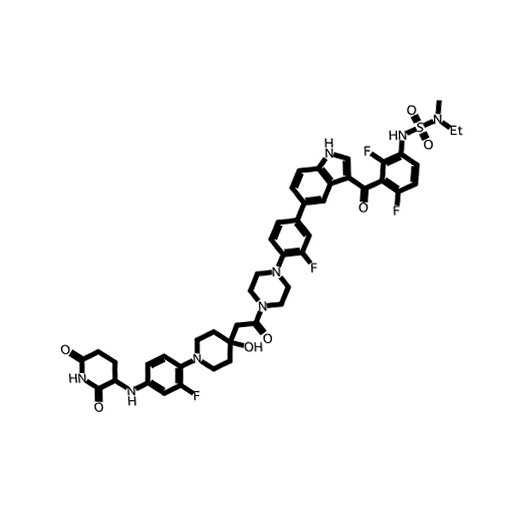 CCN(C)S(=O)(=O)Nc1ccc(F)c(C(=O)c2c[nH]c3ccc(-c4ccc(N5CCN(C(=O)CC6(O)CCN(c7ccc(NC8CCC(=O)NC8=O)cc7F)CC6)CC5)c(F)c4)cc23)c1F